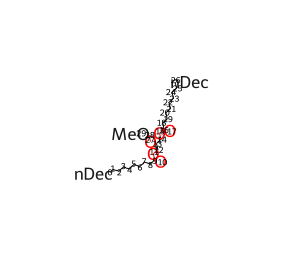 CCCCCCCCCCCCCCCCCCC(=O)OCC(COC(=O)CCCCCCCCCCCCCCCCCC)OCOC